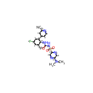 CC(C)c1cc(F)cc(-c2ccnc(C#N)c2)c1NC(=O)NS(=O)(=O)c1cnc(N(C)C)cn1